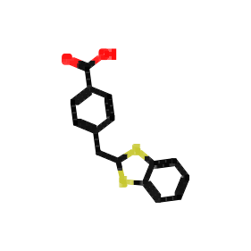 O=C(O)c1ccc(CC2Sc3ccccc3S2)cc1